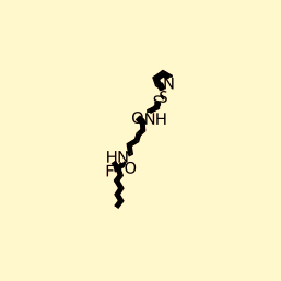 CCCCCCC(C)(F)C(=O)NCCCCCC(=O)NCCSSc1ccccn1